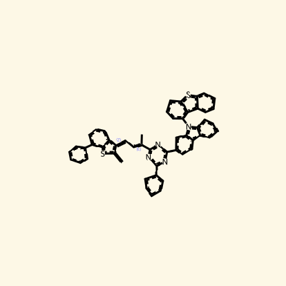 C=c1sc2c(-c3ccccc3)cccc2/c1=C/C=C(\C)c1nc(-c2ccccc2)nc(-c2ccc3c4ccccc4n(-c4cccc5sc6ccccc6c45)c3c2)n1